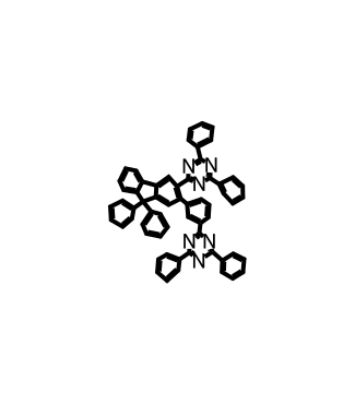 c1ccc(-c2nc(-c3ccccc3)nc(-c3cccc(-c4cc5c(cc4-c4nc(-c6ccccc6)nc(-c6ccccc6)n4)-c4ccccc4C5(c4ccccc4)c4ccccc4)c3)n2)cc1